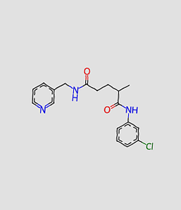 CC(CCC(=O)NCc1cccnc1)C(=O)Nc1cccc(Cl)c1